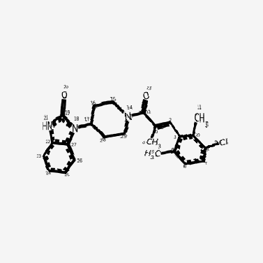 C/C(=C\c1c(C)ccc(Cl)c1C)C(=O)N1CCC(n2c(=O)[nH]c3ccccc32)CC1